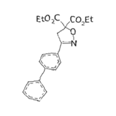 CCOC(=O)C1(C(=O)OCC)CC(c2ccc(-c3ccccc3)cc2)=NO1